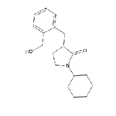 O=C1C(Cc2ccccc2CO)CCN1C1CCCCC1